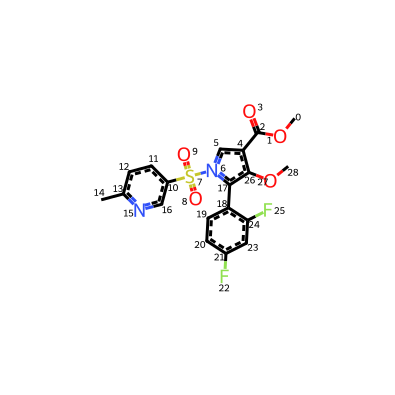 COC(=O)c1cn(S(=O)(=O)c2ccc(C)nc2)c(-c2ccc(F)cc2F)c1OC